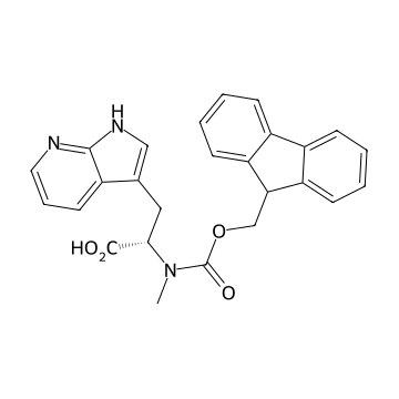 CN(C(=O)OCC1c2ccccc2-c2ccccc21)[C@@H](Cc1c[nH]c2ncccc12)C(=O)O